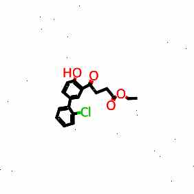 CCOC(=O)CCC(=O)c1cc(-c2ccccc2Cl)ccc1O